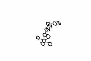 C[Si](C)(C)c1ccc(-c2cccc(-c3ccc(-c4ccc5c6c(cccc46)-c4c-5c(-c5ccccc5)c5ccccc5c4-c4ccccc4)cn3)n2)cc1